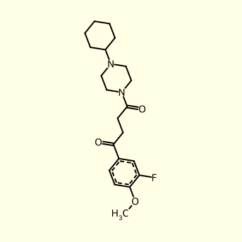 COc1ccc(C(=O)CCC(=O)N2CCN(C3CCCCC3)CC2)cc1F